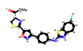 COC(=O)[C@H]1CSC(c2cc(-c3ccc(Nc4nc5ccc(F)cc5s4)cc3)no2)=N1